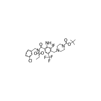 CCS(=O)(=O)N(Cc1cccc(Cl)c1)C(=O)c1cc(C(F)(F)F)c(CN2CCN(C(=O)OC(C)(C)C)CC2)c(F)c1N